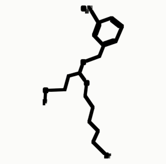 O=[N+]([O-])c1cccc(COC(CCOF)OCCCCCBr)c1